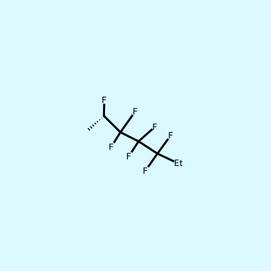 [CH2]CC(F)(F)C(F)(F)C(F)(F)[C@H](C)F